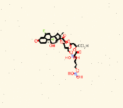 C[C@@H]1CC2C3C[C@H](F)C4=CC(=O)C=C[C@]4(C)[C@@]3(F)[C@@H](O)C[C@]2(C)[C@@]1(OC(=O)CCCON(O)O)C(=O)COC(=O)CC(OC(=O)CCCCCON(O)O)C(=O)O